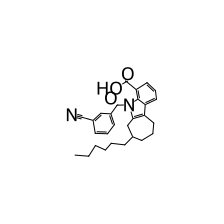 CCCCCCC1CCCc2c(n(C(=O)c3cccc(C#N)c3)c3c(C(=O)O)cccc23)C1